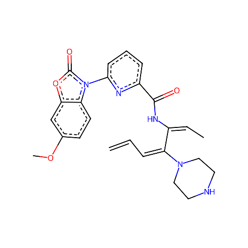 C=C/C=C(\C(=C/C)NC(=O)c1cccc(-n2c(=O)oc3cc(OC)ccc32)n1)N1CCNCC1